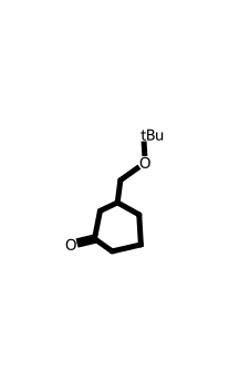 CC(C)(C)OCC1CCCC(=O)C1